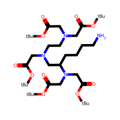 CC(C)(C)OC(=O)CN(CCN(CC(=O)OC(C)(C)C)CC(CCCCN)N(CC(=O)OC(C)(C)C)CC(=O)OC(C)(C)C)CC(=O)OC(C)(C)C